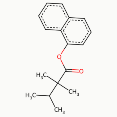 CC(C)C(C)(C)C(=O)Oc1cccc2ccccc12